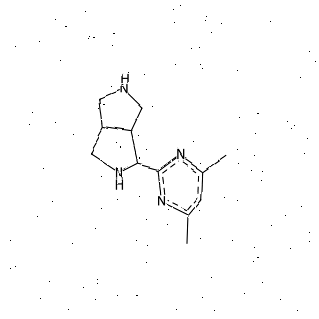 Cc1cc(C)nc(C2NCC3CNCC32)n1